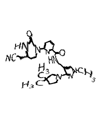 Cn1cc(NC(=O)c2cccc(N3C[C@@H](CC#N)NC3=O)n2)c(N2CCC(C)(C)C2)n1